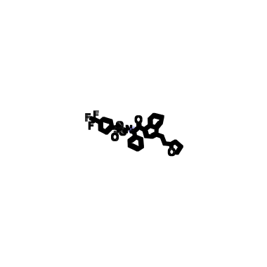 O=C(/C(=N/OS(=O)(=O)c1ccc(C(F)(F)F)cc1)c1ccccc1)c1ccc(CCC2CCCO2)c2ccccc12